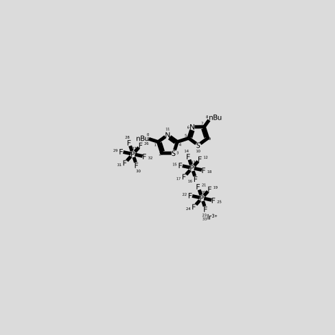 CCCCc1csc(-c2nc(CCCC)cs2)n1.F[P-](F)(F)(F)(F)F.F[P-](F)(F)(F)(F)F.F[P-](F)(F)(F)(F)F.[Ir+3]